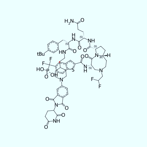 CC(C)(C)c1ccc(C[C@H](NC(=O)[C@H](CCC(N)=O)NC(=O)[C@@H]2CC[C@@H]3CCN(CC(F)F)C[C@H](NC(=O)c4cc5cc(C(F)(F)P(=O)(O)O)ccc5s4)C(=O)N32)C(=O)NCCC2CCN(c3ccc4c(c3)C(=O)N(C3CCC(=O)NC3=O)C4=O)CC2)cc1